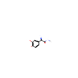 CC(C)NC(=O)C(=N)c1ccc(O)c(O)c1